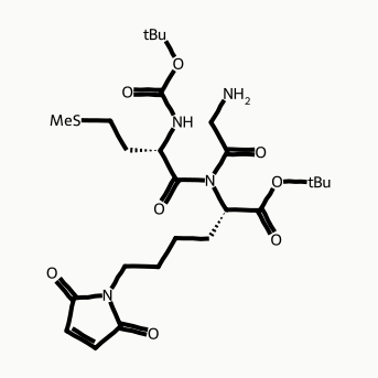 CSCC[C@H](NC(=O)OC(C)(C)C)C(=O)N(C(=O)CN)[C@@H](CCCCN1C(=O)C=CC1=O)C(=O)OC(C)(C)C